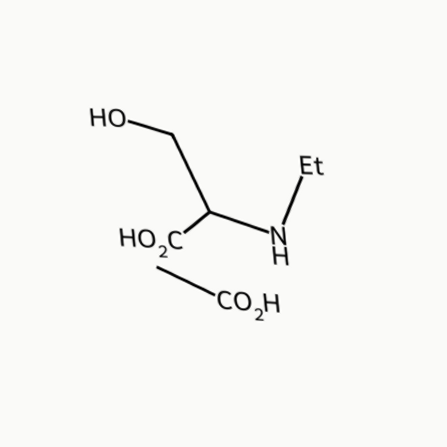 CC(=O)O.CCNC(CO)C(=O)O